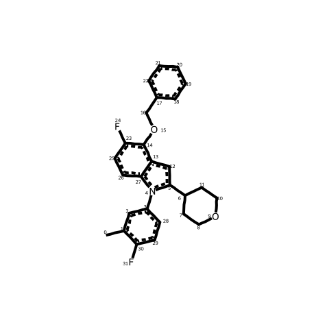 Cc1cc(-n2c(C3CCOCC3)cc3c(OCc4ccccc4)c(F)ccc32)ccc1F